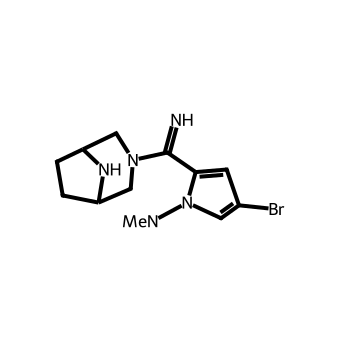 CNn1cc(Br)cc1C(=N)N1CC2CCC(C1)N2